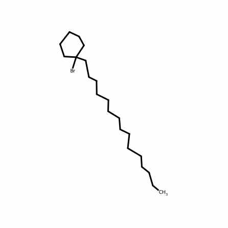 CCCCCCCCCCCCCCCC1(Br)CCCCC1